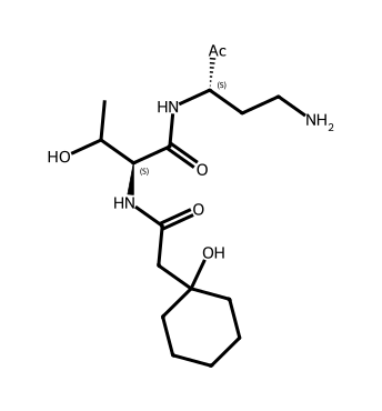 CC(=O)[C@H](CCN)NC(=O)[C@@H](NC(=O)CC1(O)CCCCC1)C(C)O